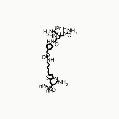 CCCN(CCC)C(=O)C1=Cc2sc(CCCCCNC(=O)OCc3ccc(NC(=O)[C@H](CCCNC(N)=O)NC(=O)[C@@H](N)C(C)C)cc3)cc2N=C(N)C1